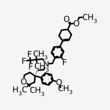 CCOC(=O)C1CC=C(c2ccc(CN(CC[C@@]3(c4ccc(OC)cc4)CCOC(C)(C)C3)CC(C)(C)C(F)(F)F)c(F)c2)CC1